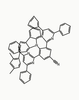 Cc1ccc(-c2ccc3c4ccccc4n(-c4c(-c5nc(-c6ccccc6)cc(-c6ccccc6)n5)cc(C#N)cc4-c4nc(-c5ccccc5)cc(-c5ccccc5)n4)c3c2)c(C)c1